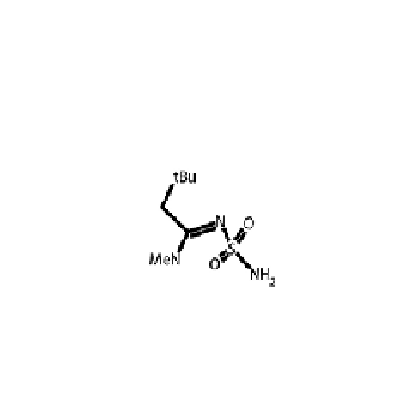 CN/C(CC(C)(C)C)=N\S(N)(=O)=O